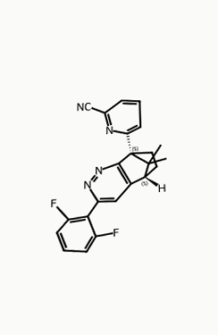 CC1(C)[C@@H]2CC[C@]1(c1cccc(C#N)n1)c1nnc(-c3c(F)cccc3F)cc12